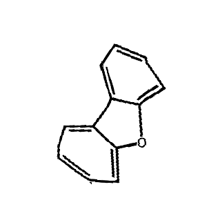 [c]1ccc2c(c1)oc1ccccc12